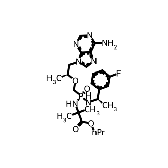 CCCOC(=O)C(C)(C)NP(=O)(CO[C@@H](C)Cn1cnc2c(N)ncnc21)N[C@H](C)c1cccc(F)c1